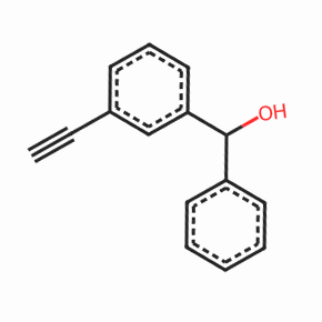 C#Cc1cccc(C(O)c2ccccc2)c1